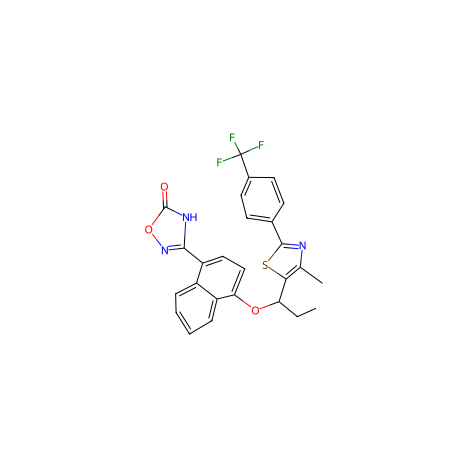 CCC(Oc1ccc(-c2noc(=O)[nH]2)c2ccccc12)c1sc(-c2ccc(C(F)(F)F)cc2)nc1C